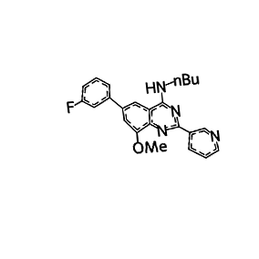 CCCCNc1nc(-c2cccnc2)nc2c(OC)cc(-c3cccc(F)c3)cc12